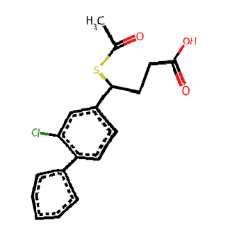 CC(=O)SC(CCC(=O)O)c1ccc(-c2ccccc2)c(Cl)c1